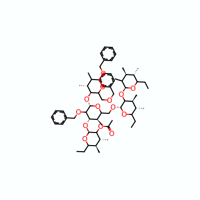 CCC1O[C@@H](OC2[C@@H](OCC3O[C@@H](O[C@@H]4C(COCc5ccccc5)O[C@@H](OCc5ccccc5)C(C)[C@H]4C)C(OCc4ccccc4)[C@@H](O[C@@H]4OC(CC)[C@H](C)[C@@H](C)C4OC(C)=O)[C@@H]3C)OC(CC)[C@@H](C)[C@@H]2C)C(C)[C@@H](C)[C@@H]1C